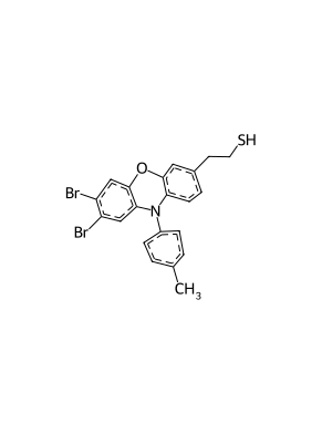 Cc1ccc(N2c3ccc(CCS)cc3Oc3cc(Br)c(Br)cc32)cc1